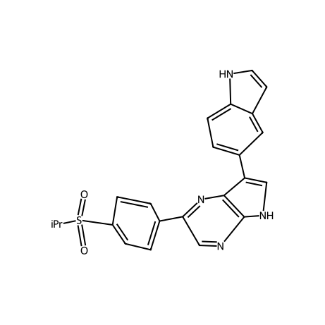 CC(C)S(=O)(=O)c1ccc(-c2cnc3[nH]cc(-c4ccc5[nH]ccc5c4)c3n2)cc1